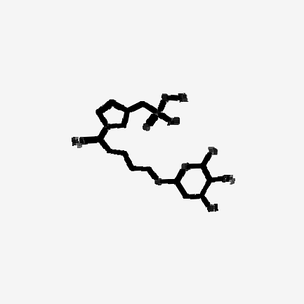 C=C(CCCCOC1CC(O)C(C)C(CC)O1)N1CCC(CP(=O)(N=O)OCC)C1